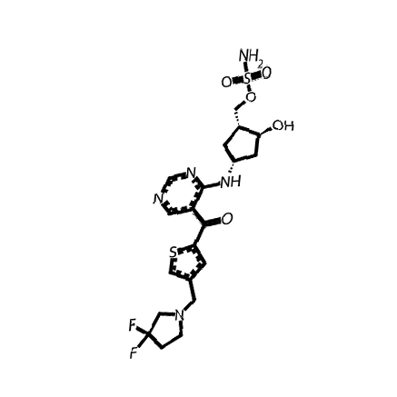 NS(=O)(=O)OC[C@H]1C[C@@H](Nc2ncncc2C(=O)c2cc(CN3CCC(F)(F)C3)cs2)C[C@@H]1O